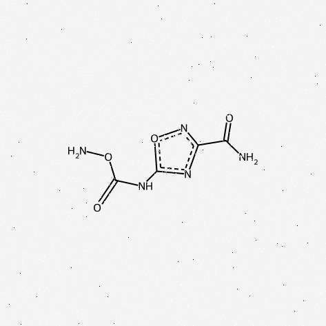 NOC(=O)Nc1nc(C(N)=O)no1